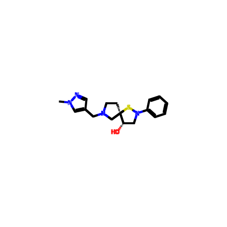 Cn1cc(CN2CC[C@]3(C2)SN(c2ccccc2)C[C@@H]3O)cn1